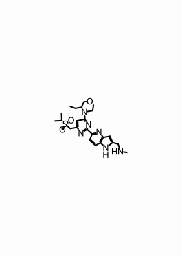 CCC1COCCN1c1cc(CS(=O)(=O)C(C)C)nc(-c2ccc3[nH]c(CNC)cc3n2)n1